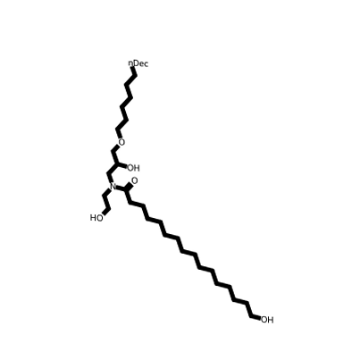 CCCCCCCCCCCCCCCCOCC(O)CN(CCO)C(=O)CCCCCCCCCCCCCCCO